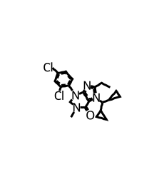 CCc1nc2c(n1C(C1CC1)C1CC1)C(=O)N(C)CN2c1ccc(Cl)cc1Cl